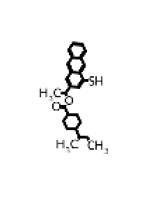 CCC(C)C1CCC(C(=O)OC(C)c2cc(S)c3cc4ccccc4cc3c2)CC1